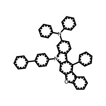 c1ccc(-c2ccc(-n3c4cc(N(c5ccccc5)c5ccccc5)ccc4c4c(-c5ccccc5)c5c(cc43)oc3ccccc35)cc2)cc1